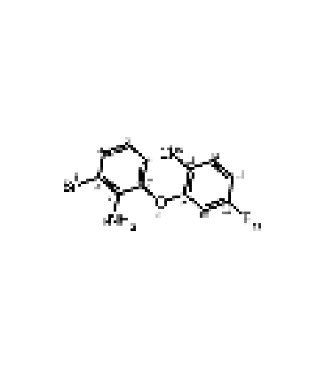 Nc1c(Br)cccc1Oc1cc(F)ccc1Cl